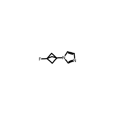 FC12CC(n3ccnc3)(C1)C2